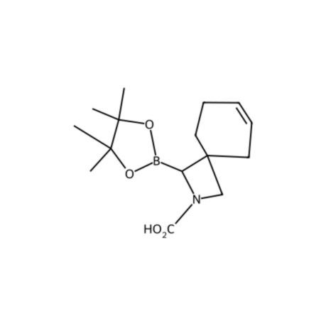 CC1(C)OB(C2N(C(=O)O)CC23CC=CCC3)OC1(C)C